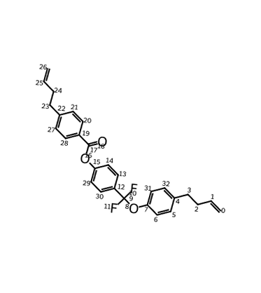 C=CCCc1ccc(OC(F)(F)c2ccc(OC(=O)c3ccc(CCC=C)cc3)cc2)cc1